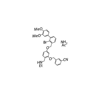 CC(N)=O.CCNCc1ccc(OCc2cccc(-c3ccc(OC)c(OC)c3)c2Br)cc1OCc1cccc(C#N)c1